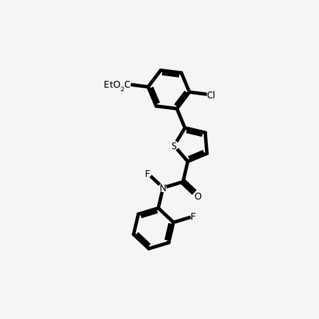 CCOC(=O)c1ccc(Cl)c(-c2ccc(C(=O)N(F)c3ccccc3F)s2)c1